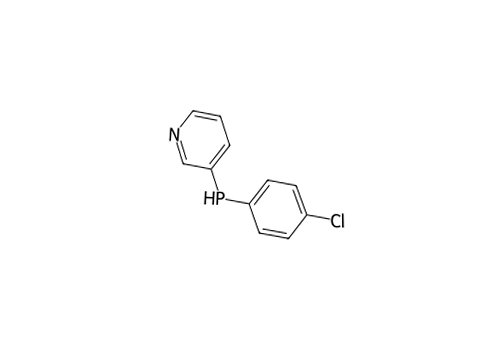 Clc1ccc(Pc2cccnc2)cc1